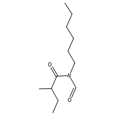 CCCCCCN(C=O)C(=O)C(C)CC